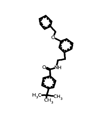 CC(C)(C)c1ccc(C(=O)NCCc2cccc(OCc3ccccc3)c2)cc1